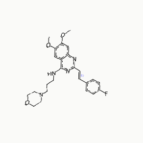 COc1cc2nc(/C=C/c3ccc(F)cc3)nc(NCCCN3CCOCC3)c2cc1OC